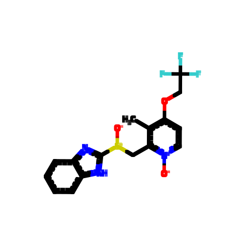 Cc1c(OCC(F)(F)F)cc[n+]([O-])c1C[S+]([O-])c1nc2ccccc2[nH]1